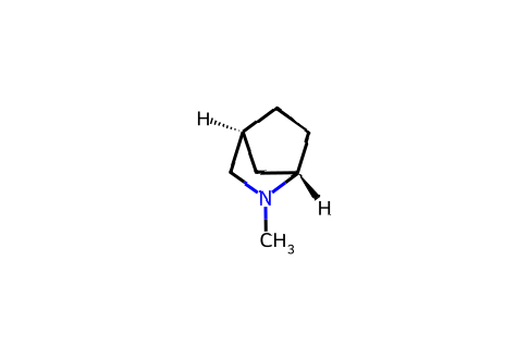 CN1C[C@H]2CC[C@H]1C2